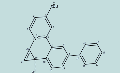 CC(C)(C)c1cc[n+]2c(c1)-c1cc(-c3ccccc3)ccc1C1(C)C=C21